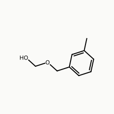 Cc1cccc(COCO)c1